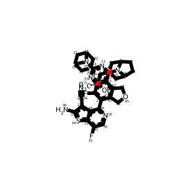 C[C@@H](O)CN1CC2CCC(C1)N2c1nc(N2C3CC2CN(C)C3)nc2c(F)c(-c3ncc(F)c4sc(N)c(C#N)c34)c3c(c12)COC3